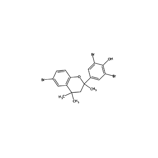 CC1(C)CC(C)(c2cc(Br)c(O)c(Br)c2)Oc2ccc(Br)cc21